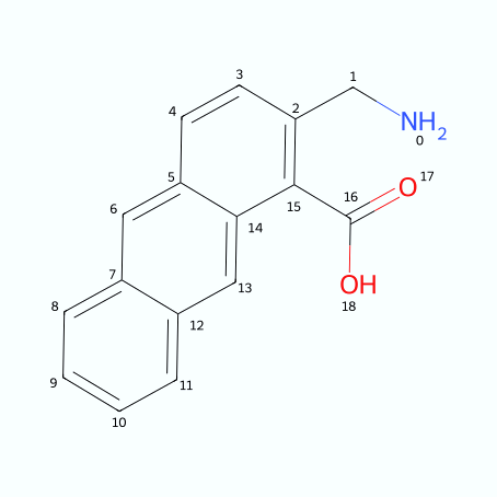 NCc1ccc2cc3ccccc3cc2c1C(=O)O